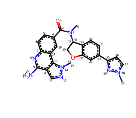 CN(C(=O)c1ccc2nc(N)c3cnn(C)c3c2c1)[C@@H]1COc2cc(-c3ccn(C)n3)ccc21